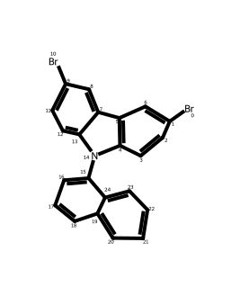 Brc1ccc2c(c1)c1cc(Br)ccc1n2-c1cccc2ccccc12